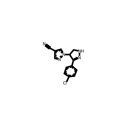 N#Cc1cnn(C2CNN=C2c2ccc(Cl)cc2)c1